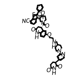 N#Cc1cccc2[nH]c(-c3ccccc3OC3(C(F)(F)F)CCN(C(=O)[C@H]4CC(=O)Nc5ccc(OCCNCC6CCN(c7cc(C8CCC(=O)NC8=O)ccn7)CC6)cc54)CC3)cc12